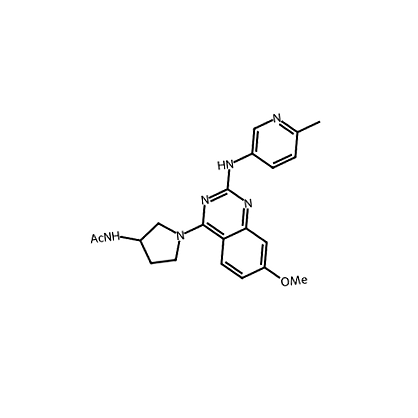 COc1ccc2c(N3CCC(NC(C)=O)C3)nc(Nc3ccc(C)nc3)nc2c1